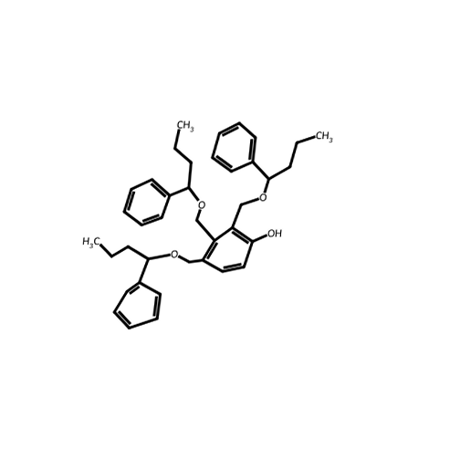 CCCC(OCc1ccc(O)c(COC(CCC)c2ccccc2)c1COC(CCC)c1ccccc1)c1ccccc1